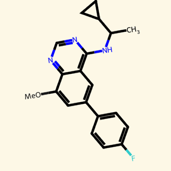 COc1cc(-c2ccc(F)cc2)cc2c(NC(C)C3CC3)ncnc12